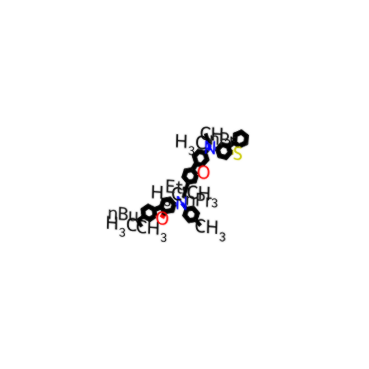 CCCCC(C)(C)c1ccc2c(c1)oc1cc(N(c3ccc(C)cc3)C(C)(CCC)C(C)(CC)c3ccc4c(c3)oc3cc(N(c5ccc6sc7ccccc7c6c5)C(C)(C)CCC)ccc34)ccc12